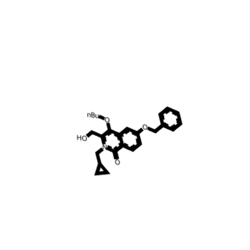 CCCCOc1c(CO)n(CC2CC2)c(=O)c2ccc(OCc3ccccc3)cc12